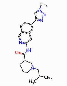 CC(C)CN1CCC[C@@H](C(=O)Nc2cc3cc(-c4cn(C)nn4)ccc3cn2)C1